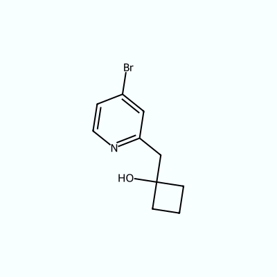 OC1(Cc2cc(Br)ccn2)CCC1